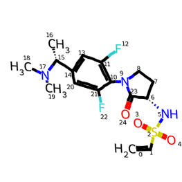 C=CS(=O)(=O)N[C@H]1CCN(c2c(F)cc([C@@H](C)N(C)C)cc2F)C1=O